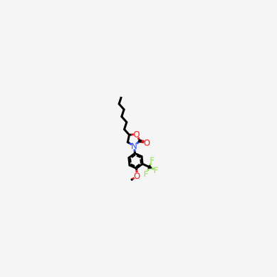 CCCCCCC1CN(c2ccc(OC)c(C(F)(F)F)c2)C(=O)O1